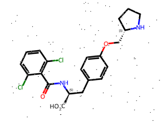 O=C(N[C@@H](Cc1ccc(OC[C@@H]2CCCN2)cc1)C(=O)O)c1c(Cl)cccc1Cl